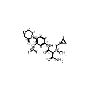 CN(CC1CC1)[C@H](C(N)=O)C(=O)Nc1ccc(N2CCOCC2=O)c(OC(F)F)c1